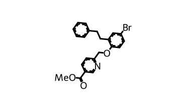 COC(=O)c1ccc(COc2ccc(Br)cc2CCc2ccccc2)nc1